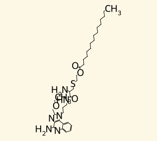 CCCCCCCCCCCCCCCC(=O)OCCSCC(N)C(=O)NCCCn1c(COCC)nc2c(N)nc3ccccc3c21